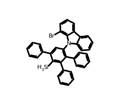 [SiH3]c1c(-c2ccccc2)cc(-n2c3ccccc3c3cccc(Br)c32)c(-c2ccccc2)c1-c1ccccc1